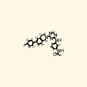 CC(=O)Nc1cccc(Nc2ncnc(N3CCc4cc(-c5ccc(C)cc5)ccc4C3)n2)c1